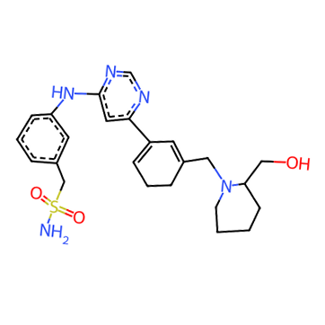 NS(=O)(=O)Cc1cccc(Nc2cc(C3=CCCC(CN4CCCCC4CO)=C3)ncn2)c1